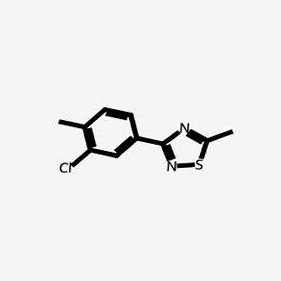 Cc1nc(-c2ccc(C)c(Cl)c2)ns1